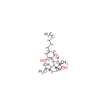 C=C(C)[C@@H]1CC[C@@H]2C1C1c3c(O)cc(CCCCC)cc3OC1[C@@]2(C)O